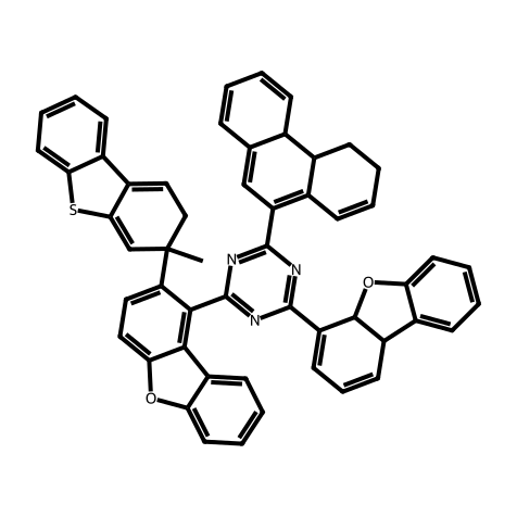 CC1(c2ccc3oc4ccccc4c3c2-c2nc(C3=CC=CC4c5ccccc5OC34)nc(C3=C4C=CCCC4C4C=CC=CC4=C3)n2)C=c2sc3ccccc3c2=CC1